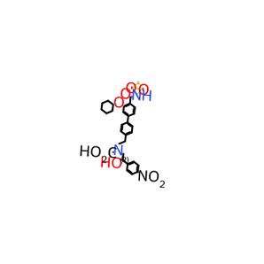 CS(=O)(=O)NC(=O)c1ccc(-c2ccc(CCN(C[C@H](O)c3ccc([N+](=O)[O-])cc3)C(=O)O)cc2)cc1OC1CCCCC1